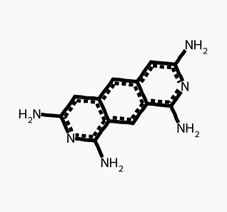 Nc1cc2cc3cc(N)nc(N)c3cc2c(N)n1